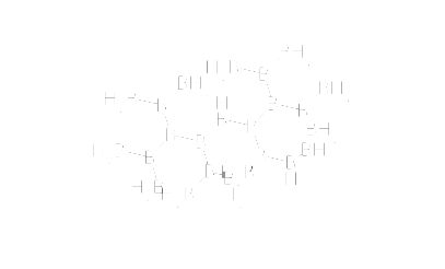 BBB(B)B(BB(B(B)B)B(B(B)B)B(B)B)B(B(B)B)B(B)B